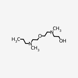 CCCN(C)CCOCCN(C)CCO